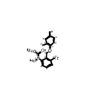 CCc1cccc(N(O)C(=O)OC)c1COc1ccc(C)cc1C